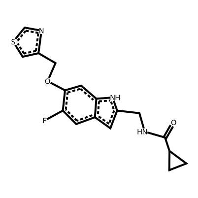 O=C(NCc1cc2cc(F)c(OCc3cscn3)cc2[nH]1)C1CC1